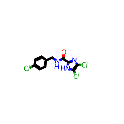 O=C(NCc1ccc(Cl)cc1)c1nc(Cl)c(Cl)[nH]1